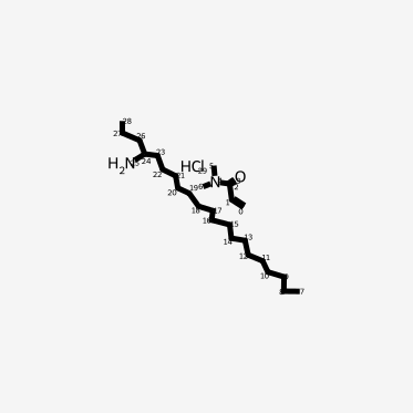 C=CC(=O)N(C)C.CCCCCCCCCCCCCCCCCC(N)CCC.Cl